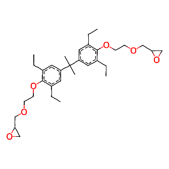 CCc1cc(C(C)(C)c2cc(CC)c(OCCOCC3CO3)c(CC)c2)cc(CC)c1OCCOCC1CO1